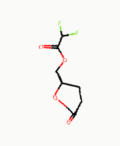 O=C1CCC(COC(=O)C(F)F)O1